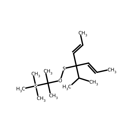 CC=CC(C=CC)(SOC(C)(C)S(C)(C)C)C(C)C